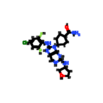 NC(=O)C1CCC(n2c(Nc3c(F)cc(Cl)cc3F)nc3cnc(N[C@@H]4CCOC4)nc32)CC1